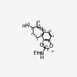 CCCC1CCc2cc(O[C@H](C)C(=O)NCC)ccc2N=C1C